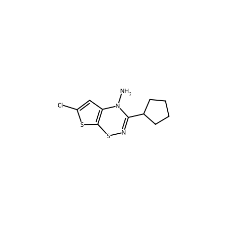 NN1C(C2CCCC2)=NSc2sc(Cl)cc21